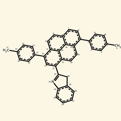 Cc1ccc(-c2ccc3ccc4c(-c5ccc(C)cc5)cc(C5=Nc6ccccc6C5)c5ccc2c3c54)cc1